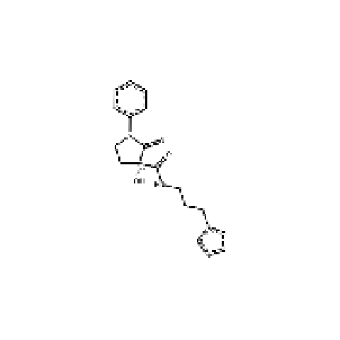 O=C(NCCCn1ccnc1)[C@@]1(O)CCN(c2ccccc2)C1=O